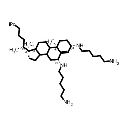 CC(C)CCC[C@@H](C)[C@H]1CCC2C3C[C@@H](NCCCCCN)C4=C[C@@H](NCCCCCN)CC[C@]4(C)C3CC[C@@]21C